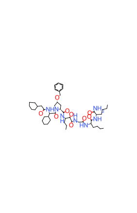 CCCCC(NC(=O)C(CCCC)NC(=O)CNC(=O)C(=O)C(CCC)NC(=O)[C@@H]1C[C@@H](OCc2ccccc2)CN1C(=O)C(NC(=O)CC1CCCCC1)C1CCCCC1)C(N)=O